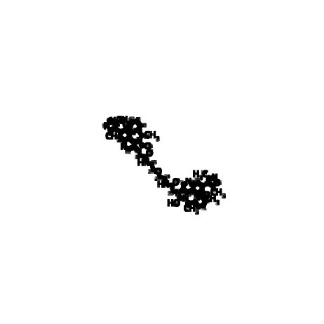 COc1cc2c3c(cnc2cc1-c1c(C)noc1C)N(CC(=O)NCCOCCNC(=O)Cn1c(=O)n(C(C)c2ccccn2)c2c4cc(OC)c(-c5c(C)noc5C)cc4ncc21)C(O)N3C(C)c1ccccn1